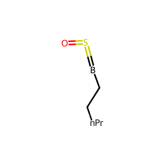 CCCCCB=S=O